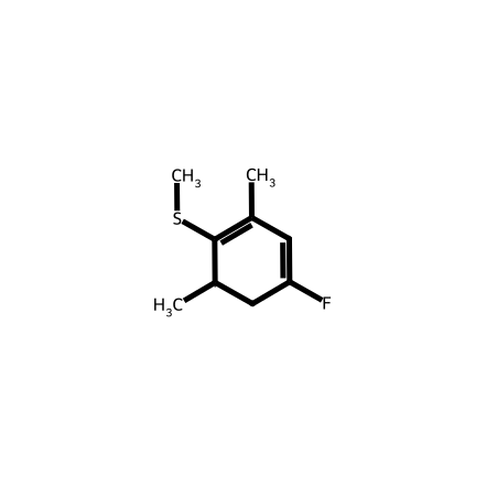 CSC1=C(C)C=C(F)C[C]1C